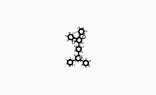 c1ccc(-c2cc(-c3ccccc3)nc(-c3ccc(-c4cc5oc6ccccc6c5c5c4oc4ccccc45)cc3)c2)cc1